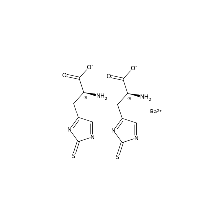 N[C@@H](CC1=NC(=S)N=C1)C(=O)[O-].N[C@@H](CC1=NC(=S)N=C1)C(=O)[O-].[Ba+2]